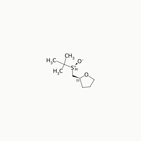 CC(C)(C)[S@@+]([O-])C[C@@H]1CCCO1